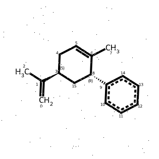 C=C(C)[C@H]1CC=C(C)[C@H](c2ccccc2)C1